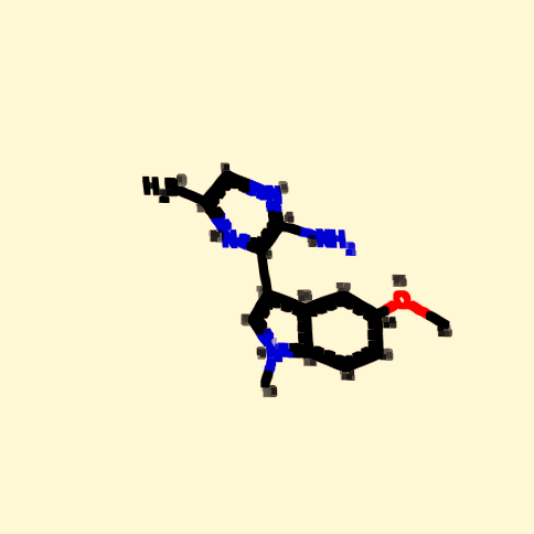 Bc1cnc(N)c(-c2cn(C)c3ccc(OC)cc23)n1